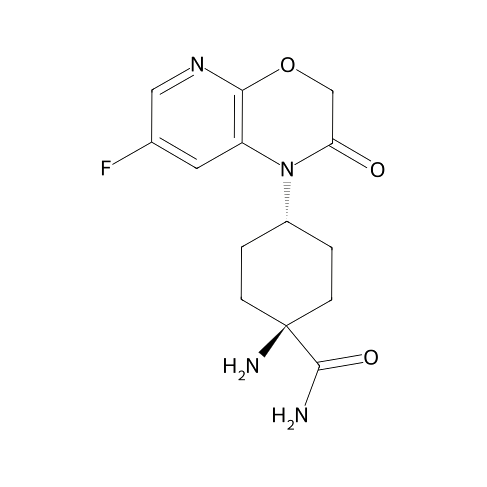 NC(=O)[C@]1(N)CC[C@H](N2C(=O)COc3ncc(F)cc32)CC1